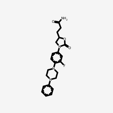 NC(=O)CCC1CN(c2ccc(N3CCN(c4ccccc4)CC3)c(F)c2)C(=O)O1